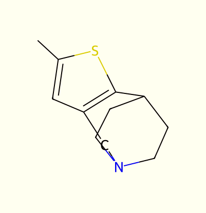 Cc1cc2c(s1)C1CCN(CC1)C2